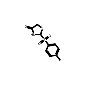 Cc1ccc(S(=O)(=O)C2NC(=O)CS2)cc1